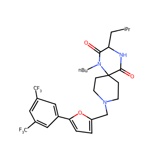 CCCCN1C(=O)C(CC(C)C)NC(=O)C12CCN(Cc1ccc(-c3cc(C(F)(F)F)cc(C(F)(F)F)c3)o1)CC2